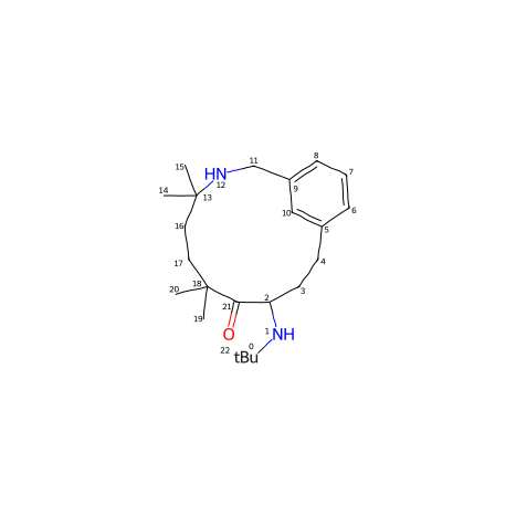 CC(C)(C)NC1CCc2cccc(c2)CNC(C)(C)CCC(C)(C)C1=O